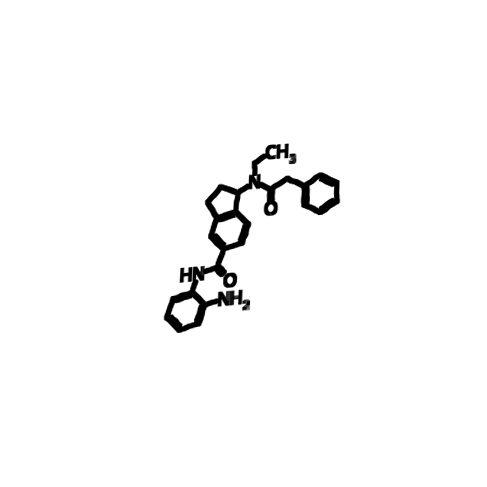 CCN(C(=O)Cc1ccccc1)C1CCc2cc(C(=O)Nc3ccccc3N)ccc21